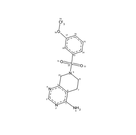 Nc1ncnc2c1CCN(S(=O)(=O)c1cccc(OC(F)(F)F)c1)C2